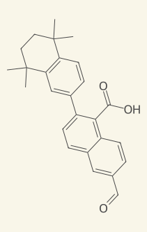 CC1(C)CCC(C)(C)c2cc(-c3ccc4cc(C=O)ccc4c3C(=O)O)ccc21